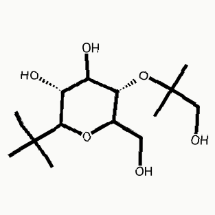 CC(C)(CO)O[C@@H]1C(CO)OC(C(C)(C)C)[C@H](O)C1O